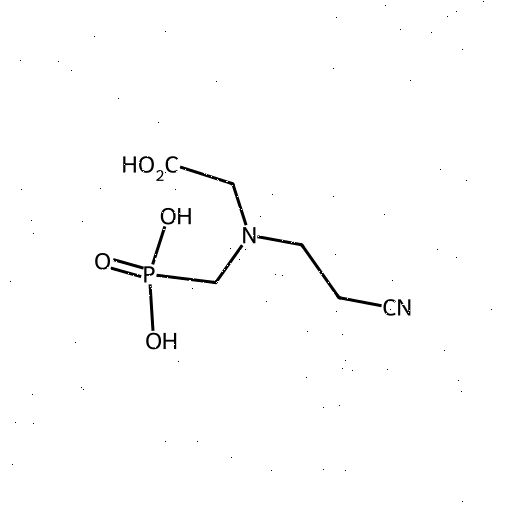 N#CCCN(CC(=O)O)CP(=O)(O)O